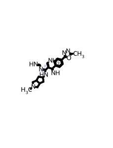 Cc1nnc(-c2ccc(C(=N)C(=C\N)/C(=N\C=N)NC3CC4CN(C)CC4C3)cc2)o1